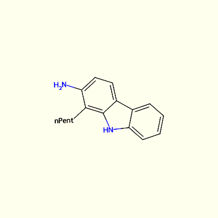 CCCCCc1c(N)ccc2c1[nH]c1ccccc12